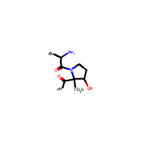 CCCC(=O)C1(C(=O)O)C(O)CCN1C(=O)C(N)C(C)CC